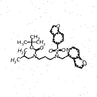 CC(C)CN(CCCN(Cc1nccc2occc12)S(=O)(=O)c1ccc2occc2c1)C(=O)OC(C)(C)C